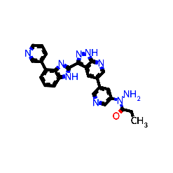 CCC(=O)N(N)c1cncc(-c2cnc3[nH]nc(-c4nc5c(-c6cccnc6)cccc5[nH]4)c3c2)c1